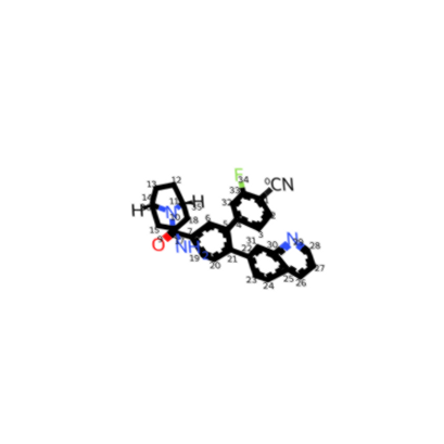 N#Cc1ccc(-c2cc(C(=O)N3[C@@H]4CC[C@H]3C[C@H](N)C4)ccc2-c2ccc3cccnc3c2)cc1F